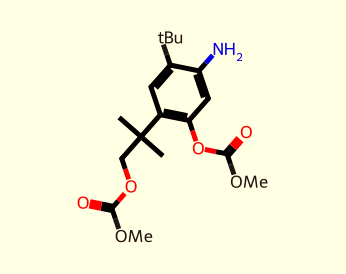 COC(=O)OCC(C)(C)c1cc(C(C)(C)C)c(N)cc1OC(=O)OC